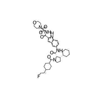 O=C(NS(=O)(=O)N1CCOCC1)c1cc2cc(NC(=O)[C@@H]3[C@H](C4CCCCC4)CCN3C(=O)C3CCC([CH]CF)CC3)ccc2[nH]1